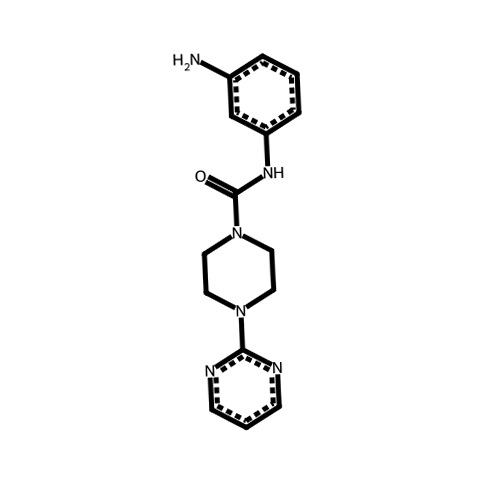 Nc1cccc(NC(=O)N2CCN(c3ncccn3)CC2)c1